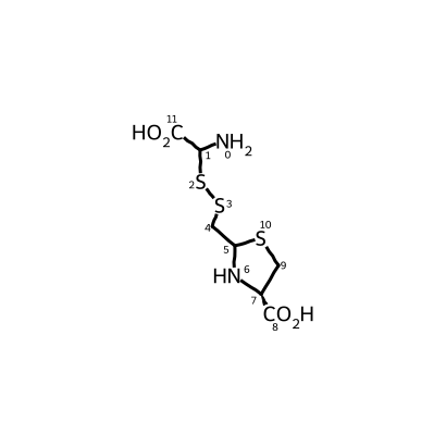 NC(SSCC1N[C@H](C(=O)O)CS1)C(=O)O